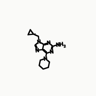 Nc1nc(N2CCCCC2)c2ncn(C[C]3CC3)c2n1